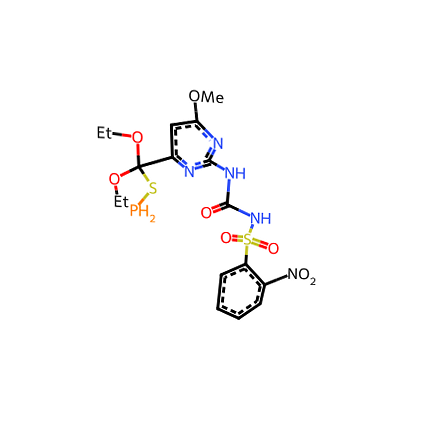 CCOC(OCC)(SP)c1cc(OC)nc(NC(=O)NS(=O)(=O)c2ccccc2[N+](=O)[O-])n1